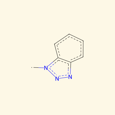 [CH2]n1nnc2ccccc21